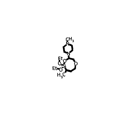 CCO[Si]1(OCC)OC(N2CCN(C)CC2)COCCC1C